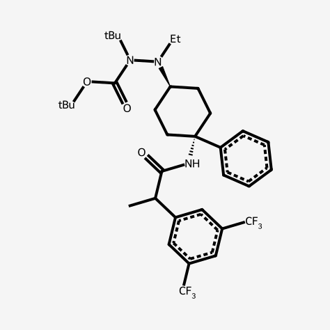 CCN([C@H]1CC[C@@](NC(=O)C(C)c2cc(C(F)(F)F)cc(C(F)(F)F)c2)(c2ccccc2)CC1)N(C(=O)OC(C)(C)C)C(C)(C)C